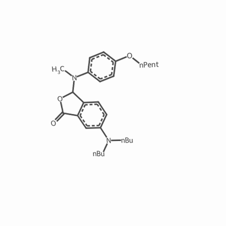 CCCCCOc1ccc(N(C)C2OC(=O)c3cc(N(CCCC)CCCC)ccc32)cc1